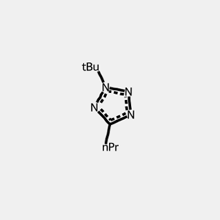 CCCc1nnn(C(C)(C)C)n1